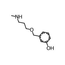 CNCCCOCc1cccc(O)c1